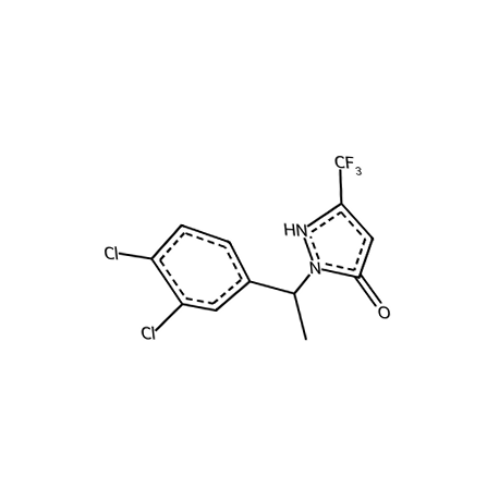 CC(c1ccc(Cl)c(Cl)c1)n1[nH]c(C(F)(F)F)cc1=O